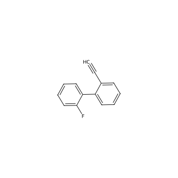 C#Cc1ccccc1-c1ccccc1F